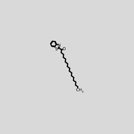 CCCCCCCCCCCCCCCCCC(=O)c1nc2ccccc2s1